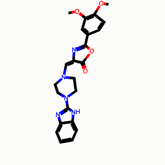 COc1ccc(C2=N/C(=C/N3CCN(c4nc5ccccc5[nH]4)CC3)C(=O)O2)cc1OC